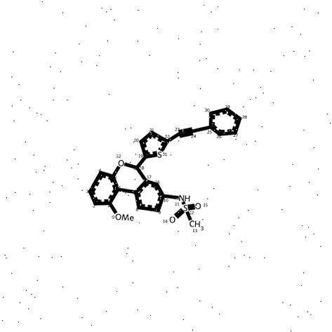 COc1cccc2c1-c1ccc(NS(C)(=O)=O)cc1C(c1ccc(C#Cc3ccccc3)s1)O2